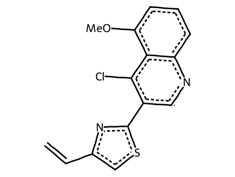 C=Cc1csc(-c2[c]nc3cccc(OC)c3c2Cl)n1